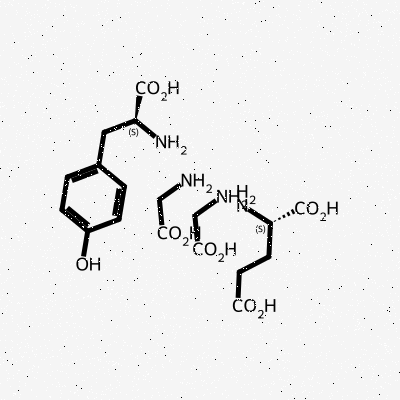 NCC(=O)O.NCC(=O)O.N[C@@H](CCC(=O)O)C(=O)O.N[C@@H](Cc1ccc(O)cc1)C(=O)O